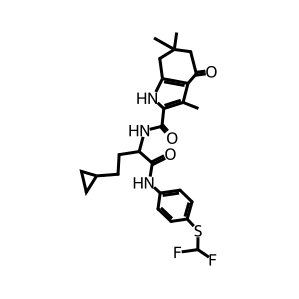 Cc1c(C(=O)NC(CCC2CC2)C(=O)Nc2ccc(SC(F)F)cc2)[nH]c2c1C(=O)CC(C)(C)C2